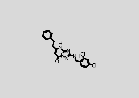 O=c1cc(CCc2ccccc2)[nH]c2nc(NCc3ccc(Cl)cc3Cl)nn12